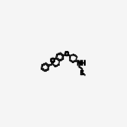 CSCCNC1CCC(Oc2ccc3c(c2)CCC(c2ccccc2)O3)CC1